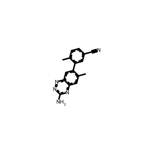 Cc1ccc(C#N)cc1-c1cc2nnc(N)nc2cc1C